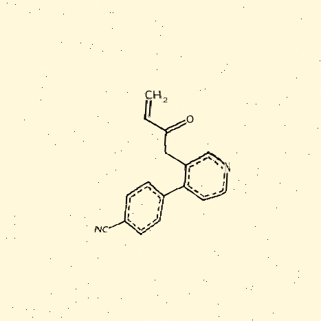 C=CC(=O)Cc1cnccc1-c1ccc(C#N)cc1